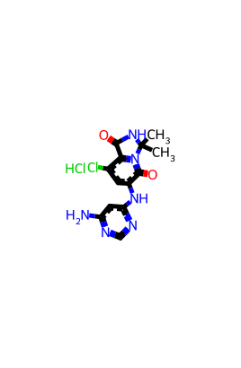 CC1(C)NC(=O)c2c(Cl)cc(Nc3cc(N)ncn3)c(=O)n21.Cl